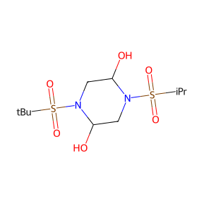 CC(C)S(=O)(=O)N1CC(O)N(S(=O)(=O)C(C)(C)C)CC1O